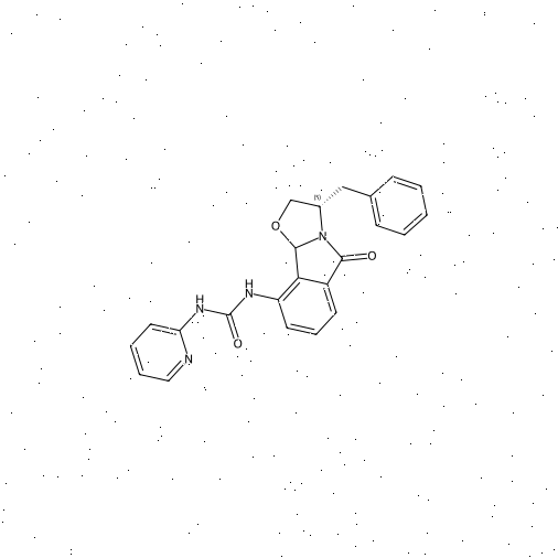 O=C(Nc1ccccn1)Nc1cccc2c1C1OC[C@H](Cc3ccccc3)N1C2=O